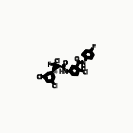 O=C(Nc1ccc(F)cc1)c1cc(NC(=O)[C@H]2[C@H](c3cc(Cl)cc(Cl)c3)C2(F)Cl)ccc1Cl